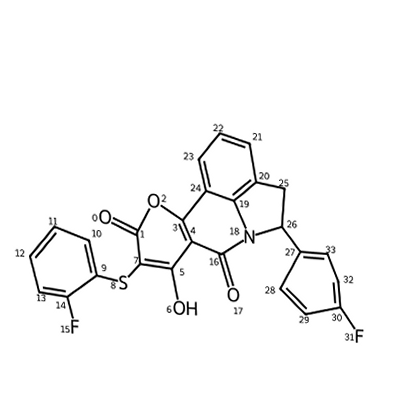 O=c1oc2c(c(O)c1Sc1ccccc1F)c(=O)n1c3c(cccc23)CC1c1ccc(F)cc1